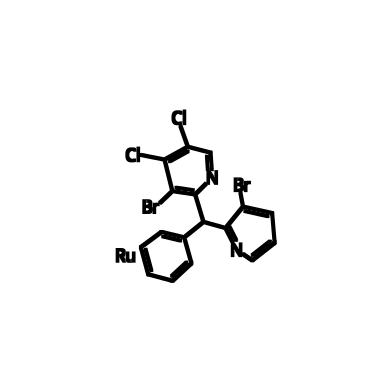 Clc1cnc(C(c2ccccc2)c2ncccc2Br)c(Br)c1Cl.[Ru]